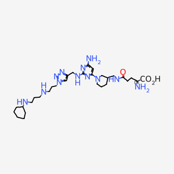 Nc1cc(N2CCCC(CNC(=O)CC[C@H](N)C(=O)O)C2)nc(NCc2cn(CCCNCCCNC3CCCCC3)nn2)n1